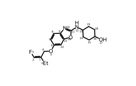 CC/C(=C/F)COc1ccc2nc(NC3CCC(O)CC3)oc2c1